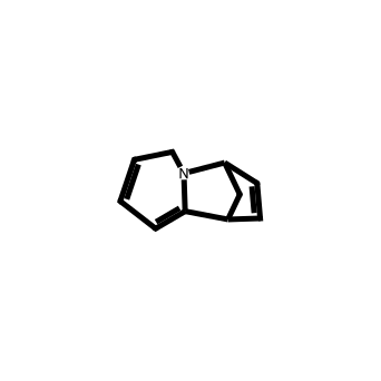 C1=CCN2C(=C1)C1C=CC2C1